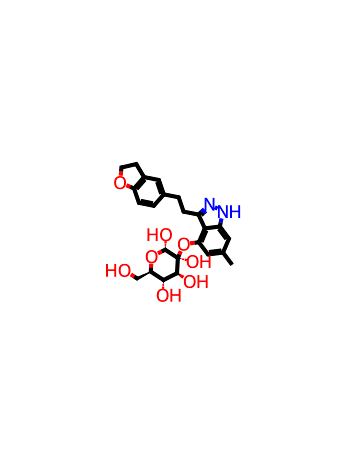 Cc1cc(O[C@]2(O)[C@@H](O)O[C@H](CO)[C@@H](O)[C@@H]2O)c2c(CCc3ccc4c(c3)CCO4)n[nH]c2c1